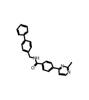 Cc1nccc(-c2ccc(C(=O)NCc3ccc(-c4ccccc4)cc3)cc2)n1